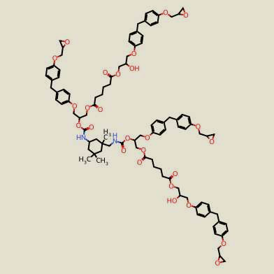 CC1(C)CC(NC(=O)OC(COC(=O)CCCCC(=O)OCC(O)COc2ccc(Cc3ccc(OCC4CO4)cc3)cc2)COc2ccc(Cc3ccc(OCC4CO4)cc3)cc2)CC(C)(CNC(=O)OC(COC(=O)CCCCC(=O)OCC(O)COc2ccc(Cc3ccc(OCC4CO4)cc3)cc2)COc2ccc(Cc3ccc(OCC4CO4)cc3)cc2)C1